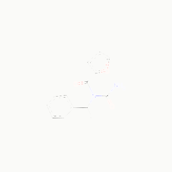 NC(=O)N(C(=O)c1ccco1)C([C]=O)c1ccccc1